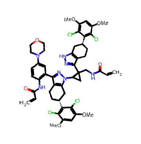 C=CC(=O)NCC1(c2n[nH]c3c2CC[C@H](c2c(Cl)c(OC)cc(OC)c2Cl)C3)CC1n1nc(-c2cc(N3CCOCC3)ccc2NC(=O)C=C)c2c1C[C@H](c1c(Cl)c(OC)cc(OC)c1Cl)CC2